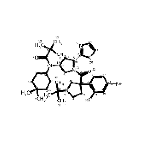 CC1(C)CCC(N(C(=O)C(C)(C)C)[C@H]2C[C@H](c3nccs3)N(C(=O)C3(c4ccc(F)cc4F)CCN(C(C)(C)C)C3)C2)CC1